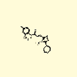 Cc1cc(I)ccc1NC(=O)CSc1nnc(C2CCCCC2)n1C